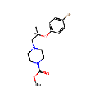 C[C@H](CN1CCN(C(=O)OC(C)(C)C)CC1)Oc1ccc(Br)cc1